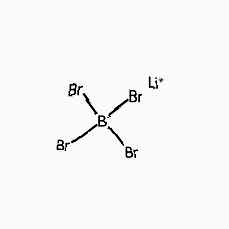 Br[B-](Br)(Br)Br.[Li+]